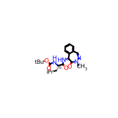 CC(C)C[C@H](NC(=O)OC(C)(C)C)C(=O)N[C@@H]1C(=O)N(C)N=Cc2ccccc21